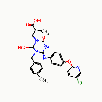 Cc1ccc(CN2/C(=N/c3ccc(Oc4ccc(Cl)cn4)cc3)NC(=O)N(C[C@H](C)C(=O)O)C2O)cc1